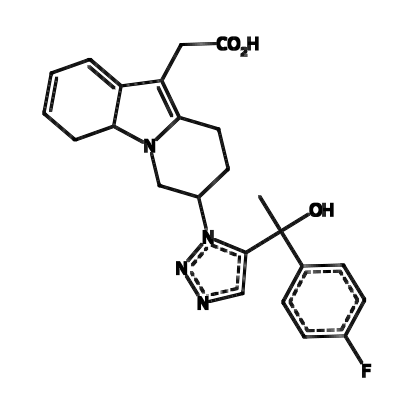 CC(O)(c1ccc(F)cc1)c1cnnn1C1CCC2=C(CC(=O)O)C3=CC=CCC3N2C1